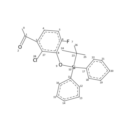 CC(=O)c1ccc(F)c(O[Si](c2ccccc2)(c2ccccc2)C(C)(C)C)c1Cl